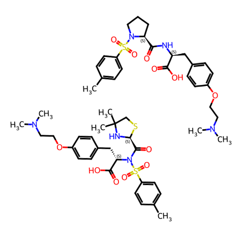 Cc1ccc(S(=O)(=O)N(C(=O)[C@H]2NC(C)(C)CS2)[C@@H](Cc2ccc(OCCN(C)C)cc2)C(=O)O)cc1.Cc1ccc(S(=O)(=O)N2CCC[C@H]2C(=O)N[C@@H](Cc2ccc(OCCN(C)C)cc2)C(=O)O)cc1